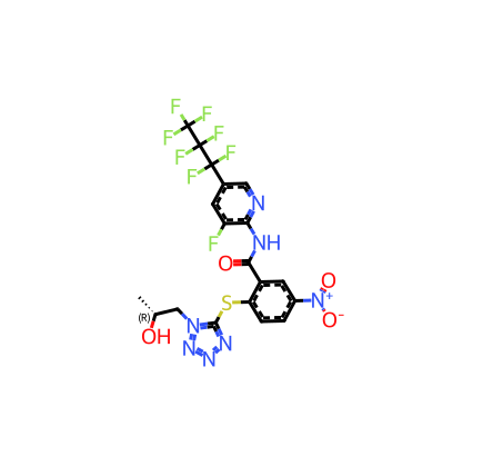 C[C@@H](O)Cn1nnnc1Sc1ccc([N+](=O)[O-])cc1C(=O)Nc1ncc(C(F)(F)C(F)(F)C(F)(F)F)cc1F